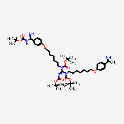 CC(=N)c1ccc(OCCCCCCCN(C(=O)OC(C)(C)C)/C(=N\C(=O)OC(C)(C)C)N(CCCCCCCOc2ccc(C(=N)NC(=O)OC(C)(C)C)cc2)C(=O)OC(C)(C)C)cc1